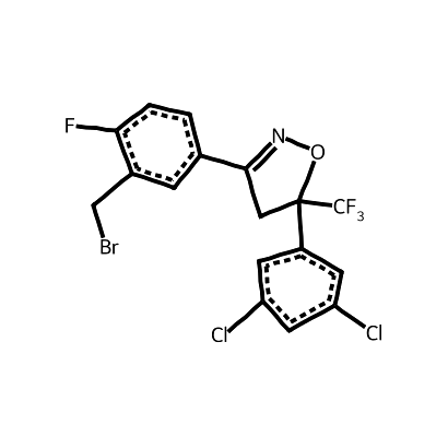 Fc1ccc(C2=NOC(c3cc(Cl)cc(Cl)c3)(C(F)(F)F)C2)cc1CBr